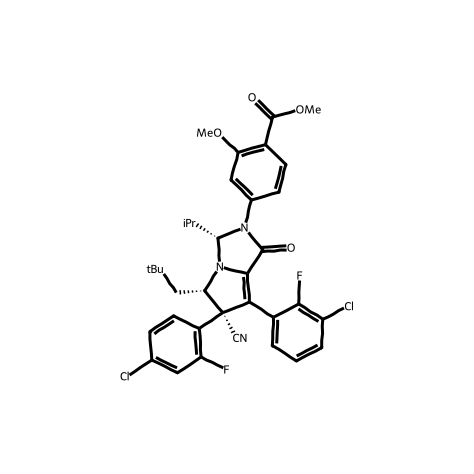 COC(=O)c1ccc(N2C(=O)C3=C(c4cccc(Cl)c4F)[C@@](C#N)(c4ccc(Cl)cc4F)[C@H](CC(C)(C)C)N3[C@@H]2C(C)C)cc1OC